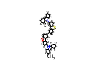 Cc1ccc2c(c1)c1ccccc1n2-c1ccc2oc3ccc(-c4ccc5sc6ccc(-n7c8ccccc8c8cccc(C#N)c87)cc6c5c4)cc3c2c1